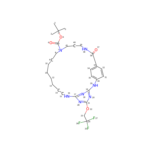 CC(C)(C)OC(=O)N1CCCCCCCCNc2nc(nc(OCC(F)(F)F)n2)Nc2ccc(cc2)C(=O)NCCC1